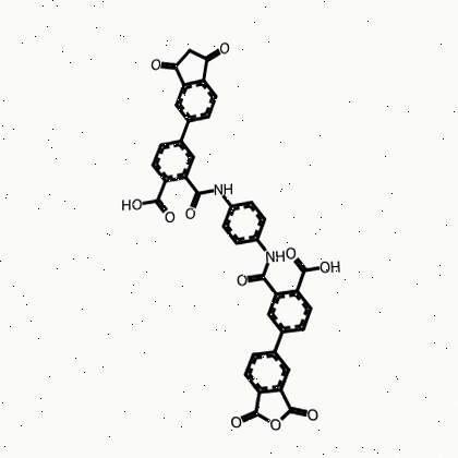 O=C(O)c1ccc(-c2ccc3c(c2)C(=O)CC3=O)cc1C(=O)Nc1ccc(NC(=O)c2cc(-c3ccc4c(c3)C(=O)OC4=O)ccc2C(=O)O)cc1